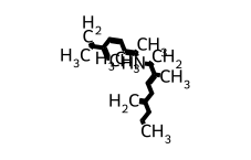 C=C(C/C=C(\C)C(=C)N/C(C)=C(C)/C=C\C(=C/C)C(=C)C)CCC